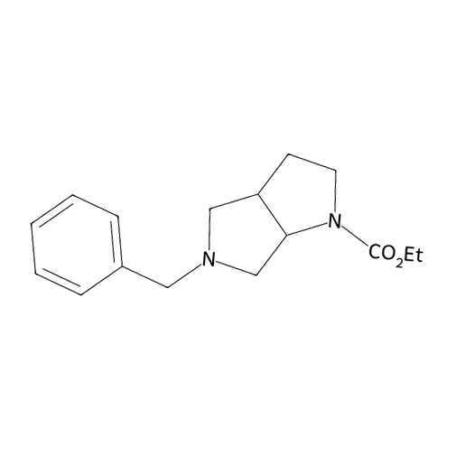 CCOC(=O)N1CCC2CN(Cc3ccccc3)CC21